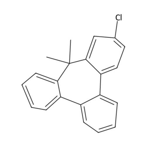 CC1(C)c2ccccc2-c2ccccc2-c2ccc(Cl)cc21